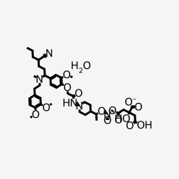 CCCC(C#N)CCC(c1ccc(OCC(=O)NN2CCC(C(C)O[N+](=O)OC(=O)CC(O)(CC(=O)O)C(=O)[O-])CC2)c(OC)c1)N(C)CCc1ccc(OC)c(OC)c1.O